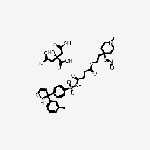 Cc1cccc(C2(c3ccc(S(=O)(=O)NC(=O)CCC(=O)OCCC4(SN=O)CCN(C)CC4)cc3)C=CON2)c1.O=C(O)CC(O)(CC(=O)O)C(=O)O